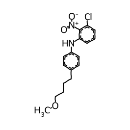 COCCCCc1ccc(Nc2cccc(Cl)c2[N+](=O)[O-])cc1